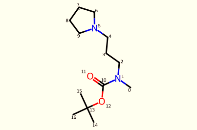 CN(CCCN1C[CH]CC1)C(=O)OC(C)(C)C